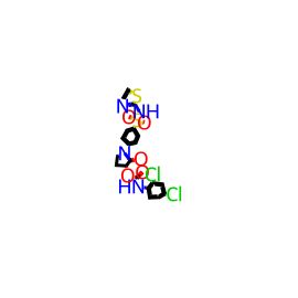 O=C(Nc1ccc(Cl)cc1Cl)OC1CCN(c2ccc(S(=O)(=O)Nc3nccs3)cc2)C1=O